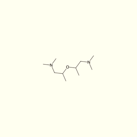 CC(CN(C)C)OC(C)CN(C)C